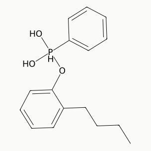 CCCCc1ccccc1O[PH](O)(O)c1ccccc1